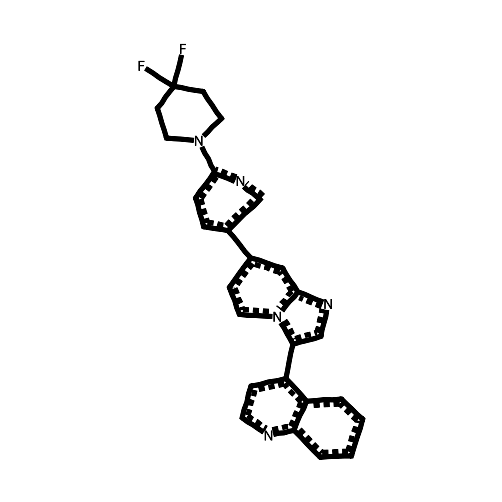 FC1(F)CCN(c2ccc(-c3ccn4c(-c5ccnc6ccccc56)cnc4c3)cn2)CC1